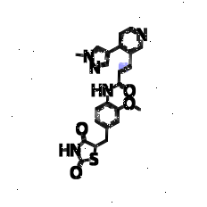 COc1cc(CC2SC(=O)NC2=O)ccc1NC(=O)/C=C/c1cnccc1-c1cnn(C)c1